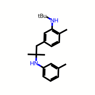 Cc1cccc(NC(C)(C)Cc2ccc(C)c(NC(C)(C)C)c2)c1